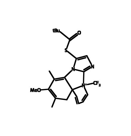 COC1=C(C)CC23C=CC=C[N+]2(C(F)(F)F)c2ncc(SC(=O)C(C)(C)C)n2C3=C1C